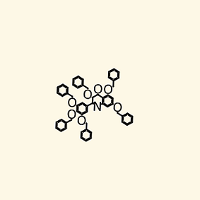 O=C1c2c(cc(OCc3ccccc3)cc2OCc2ccccc2)N=C(c2cc(OCc3ccccc3)c(OCc3ccccc3)c(OCc3ccccc3)c2)C1OCc1ccccc1